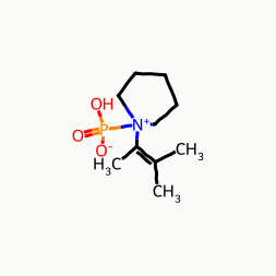 CC(C)=C(C)[N+]1(P(=O)([O-])O)CCCCC1